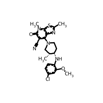 COc1cc(Cl)ccc1N[C@H]1CCN(c2c(C#N)c(=O)n(C)c3sc(C)nc23)C[C@H]1C